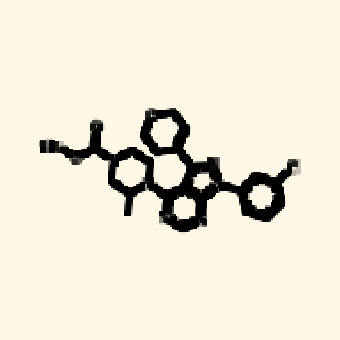 CC1CN(C(=O)OC(C)(C)C)CCN1c1ncnc2c1c(C1=CCOCC1)nn2-c1cccc(Cl)c1